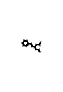 C=CC[C](C=Cc1ccccc1)CC=C